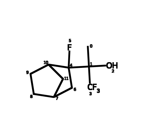 CC(O)(C(F)(F)F)C1(F)CC2CCC1C2